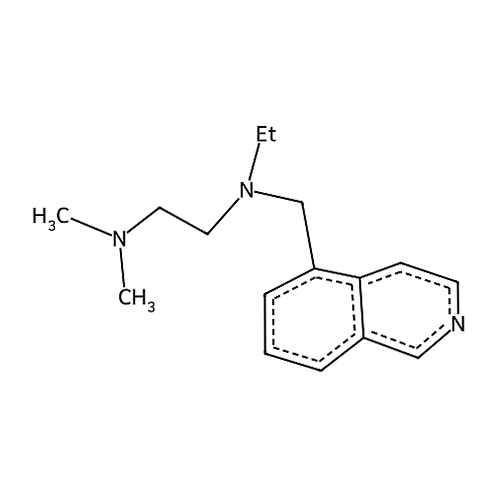 CCN(CCN(C)C)Cc1cccc2cnccc12